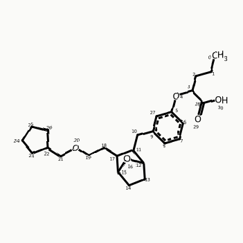 CCCC(Oc1cccc(CC2C3CCC(O3)C2CCOCC2CCCC2)c1)C(=O)O